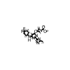 COC(=O)N1CC(Oc2cc(NC3CCC(F)(F)CC3)nc(-c3nc(C)ns3)n2)C1